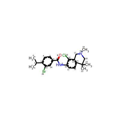 CC(C)c1ccc(C(=O)Nc2ccc3c(c2Cl)CN(C)CC3(C)C)cc1Br